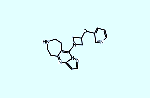 c1cncc(OC2CN(c3c4c(nc5ccnn35)CCNCC4)C2)c1